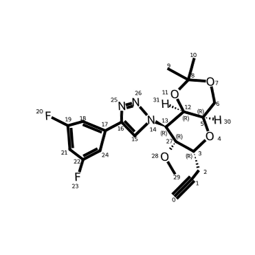 C#CC[C@H]1O[C@@H]2COC(C)(C)O[C@@H]2[C@H](n2cc(-c3cc(F)cc(F)c3)nn2)[C@H]1OC